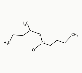 CCCC[S+]([O-])SC(C)CCC